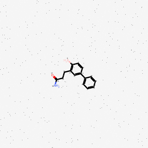 Bc1ccc(-c2ccccc2)cc1CCC(N)=O